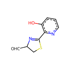 O=CC1CSC(c2ncccc2O)=N1